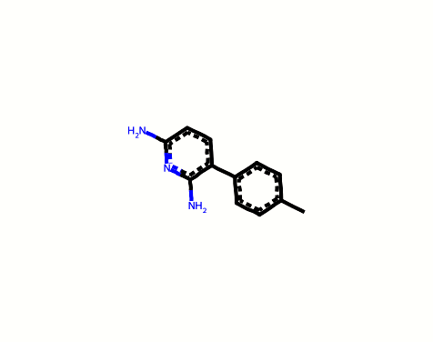 Cc1ccc(-c2ccc(N)nc2N)cc1